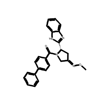 CO/N=C1\C[C@@H](c2nc3ccccc3[nH]2)N(C(=O)c2ccc(-c3ccccc3)cc2)C1